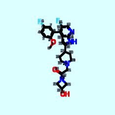 COc1ccc(F)cc1-c1c(F)cnc2[nH]c(C3CCN(CC(=O)N4CC(O)C4)CC3)cc12